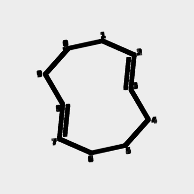 [CH]1C/C=C/CCC/C=C/C1